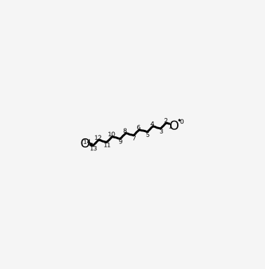 COCCCCCCCCCCCC=O